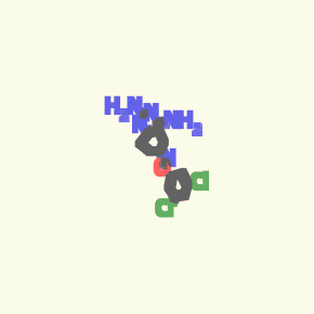 Nc1nc(N)c2c(n1)CCC(=NOc1cc(Cl)cc(Cl)c1)C2